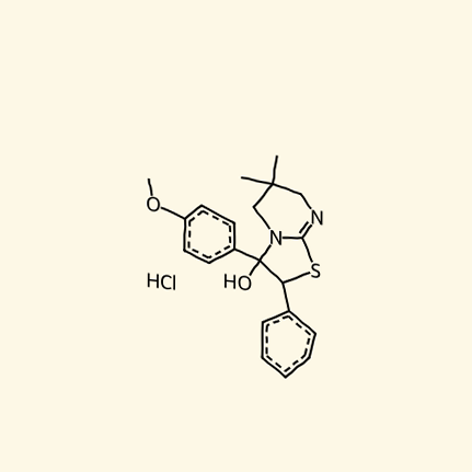 COc1ccc(C2(O)C(c3ccccc3)SC3=NCC(C)(C)CN32)cc1.Cl